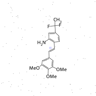 COc1cc(/C=C/c2ccc(C(C)(F)F)cc2N)cc(OC)c1OC